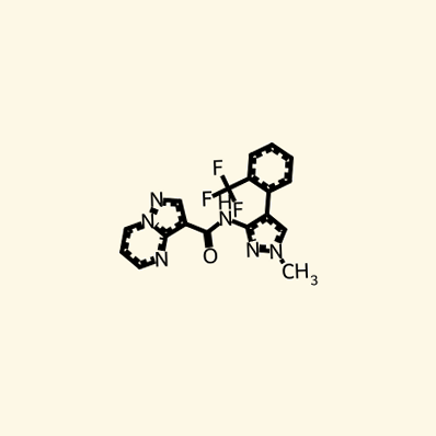 Cn1cc(-c2ccccc2C(F)(F)F)c(NC(=O)c2cnn3cccnc23)n1